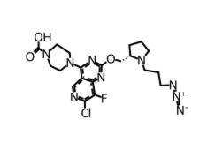 [N-]=[N+]=NCCCN1CCC[C@H]1COc1nc(N2CCN(C(=O)O)CC2)c2cnc(Cl)c(F)c2n1